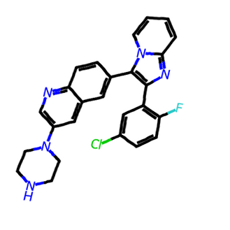 Fc1ccc(Cl)cc1-c1nc2ccccn2c1-c1ccc2ncc(N3CCNCC3)cc2c1